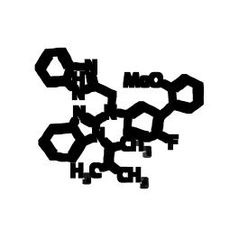 COc1ccccc1-c1cc(N(Cc2nc3ccccc3[nH]2)c2nc3ccccc3n2C(C)=C(C)C)ccc1F